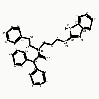 O=C(C(c1ccccc1)c1ccccc1)N(CCCSc1nc2ccccc2[nH]1)CCc1ccccc1